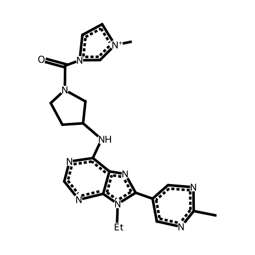 CCn1c(-c2cnc(C)nc2)nc2c(NC3CCN(C(=O)n4cc[n+](C)c4)C3)ncnc21